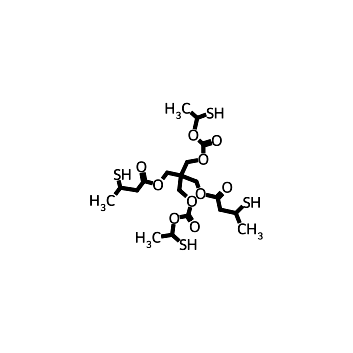 CC(S)CC(=O)OCC(COC(=O)CC(C)S)(COC(=O)OC(C)S)COC(=O)OC(C)S